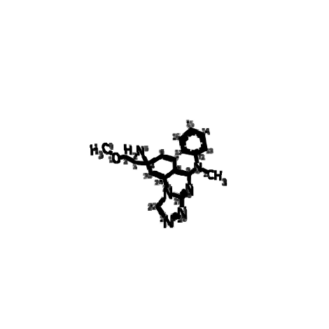 COCCC1(N)C=CC2=C(N(C)c3ccccc3)N=C3N=NCN3C2=C1